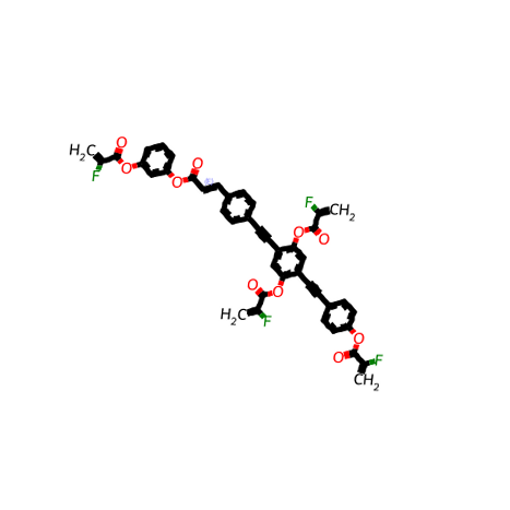 C=C(F)C(=O)Oc1ccc(C#Cc2cc(OC(=O)C(=C)F)c(C#Cc3ccc(/C=C/C(=O)Oc4cccc(OC(=O)C(=C)F)c4)cc3)cc2OC(=O)C(=C)F)cc1